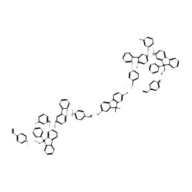 C=Cc1ccc(OCCC2(c3ccccc3)c3ccccc3-c3ccc(N(c4cccc(C)c4)c4ccc5c(c4)c4ccccc4n5-c4ccc(COCc5ccc6c(c5)C(C)(C)c5cc(COCc7ccc(-n8c9ccccc9c9cc(N(c%10cccc(C)c%10)c%10ccc%11c(c%10)C(CCOc%10ccc(C=C)cc%10)(c%10ccccc%10)c%10ccccc%10-%11)ccc98)cc7)ccc5-6)cc4)cc32)cc1